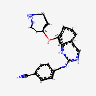 N#Cc1ccc(Nc2ncc3cccc(OC4CCNCC4)c3n2)cc1